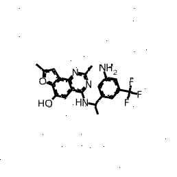 Cc1nc(NC(C)c2cc(N)cc(C(F)(F)F)c2)c2cc(O)c3oc(C)cc3c2n1